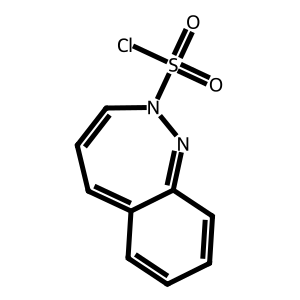 O=S(=O)(Cl)N1C=CC=c2ccccc2=N1